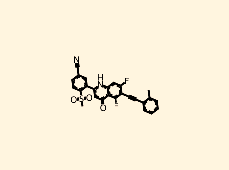 Cc1ccccc1C#Cc1c(F)cc2[nH]c(-c3cc(C#N)ccc3S(C)(=O)=O)cc(=O)c2c1F